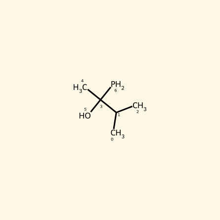 CC(C)C(C)(O)P